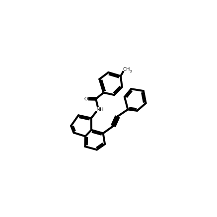 Cc1ccc(C(=O)Nc2cccc3cccc(C#Cc4ccccc4)c23)cc1